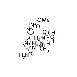 COCC(=O)Nc1ccc(-c2cc3c(N[C@@H]4C[C@@H]5CN(C(=O)C(C)(C)O)C[C@H]5[C@@H]4C)c(C(N)=O)cnn3c2)cn1